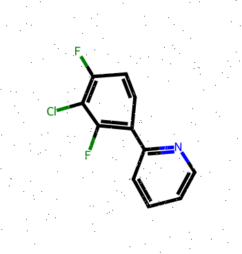 Fc1ccc(-c2[c]cccn2)c(F)c1Cl